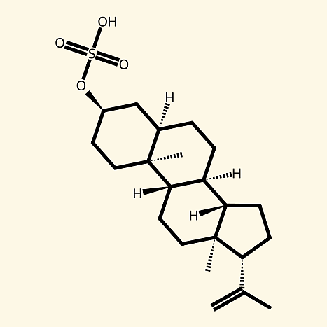 C=C(C)[C@H]1CC[C@H]2[C@@H]3CC[C@@H]4C[C@H](OS(=O)(=O)O)CC[C@]4(C)[C@H]3CC[C@]12C